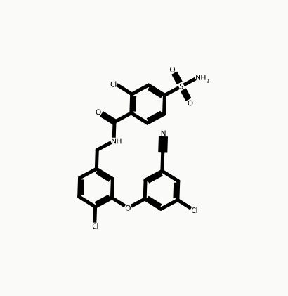 N#Cc1cc(Cl)cc(Oc2cc(CNC(=O)c3ccc(S(N)(=O)=O)cc3Cl)ccc2Cl)c1